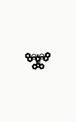 Cc1c(Oc2cccc3ccccc23)cc(-n2c3ccccc3c3ccccc32)cc1Oc1cccc2ccccc12